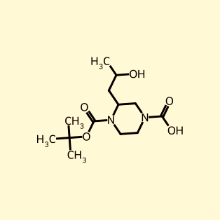 CC(O)CC1CN(C(=O)O)CCN1C(=O)OC(C)(C)C